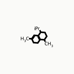 CC1=CC2=C(CC1)C(C)CCC2C(C)C